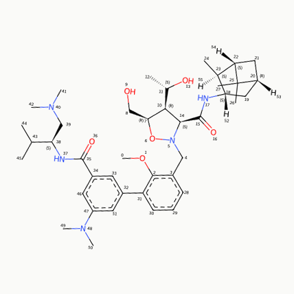 COc1c(CN2O[C@@H](CO)[C@@H]([C@H](C)O)[C@H]2C(=O)N[C@H]2C[C@H]3C[C@@H]([C@@H]2C)C3(C)C)cccc1-c1cc(C(=O)N[C@H](CN(C)C)C(C)C)cc(N(C)C)c1